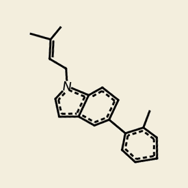 CC(C)=CCn1ccc2cc(-c3ccccc3C)ccc21